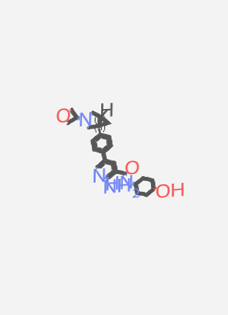 Nc1ncc(-c2ccc([C@]34C[C@H]3CN(C3COC3)C4)cc2)cc1C(=O)NC1CCC(O)CC1